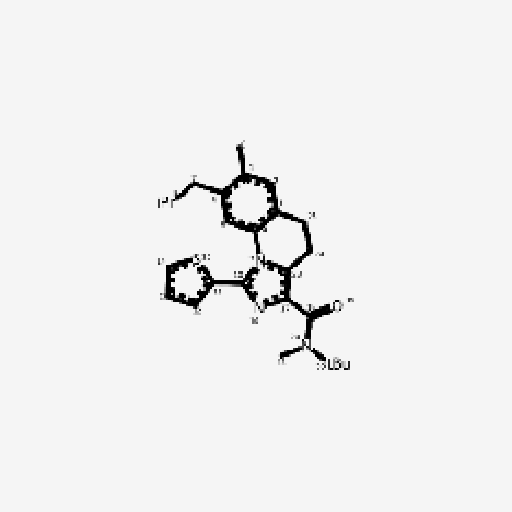 Cc1cc2c(cc1CC(C)C)-n1c(-c3cccs3)nc(C(=O)N(C)C(C)(C)C)c1CC2